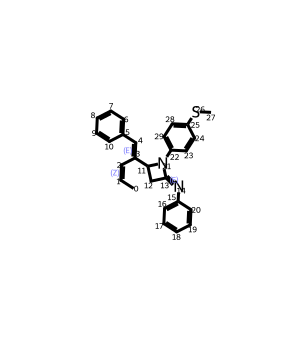 C/C=C\C(=C/c1ccccc1)C1C/C(=N\c2ccccc2)N1c1ccc(SC)cc1